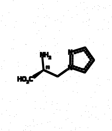 N[C@@H](Cn1cccn1)C(=O)O